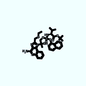 CCOCc1nc2c(N)nc3ccccc3c2n1C(C)(O)COP(=O)(N[C@H](C(=O)OC(C)(C)C)C(C)C)Oc1cccc2ccccc12